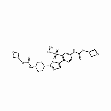 CC(C)(C)NS(=O)(=O)c1cc(NC(=O)OC2COC2)ccc1-c1cnc([C@H]2CC[C@H](NC(=O)OC3COC3)CC2)s1